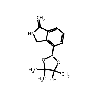 C=C1NCc2c(B3OC(C)(C)C(C)(C)O3)cccc21